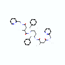 CCCC(CC(=O)N(C)Cc1ccccn1)C(=O)N[C@@H](Cc1ccccc1)[C@@H](O)[C@H](O)[C@H](Cc1ccccc1)NC(=O)C(CCC)CC(=O)N(C)Cc1ccccn1